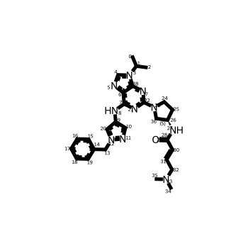 CC(C)n1cnc2c(Nc3cnn(Cc4ccccc4)c3)nc(N3CC[C@H](NC(=O)C=CCN(C)C)C3)nc21